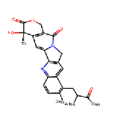 CC[C@@]1(O)C(=O)OCc2c1cc1n(c2=O)Cc2cc3c(CC(NC(C)=O)C(=O)OC)c(OC)ccc3nc2-1